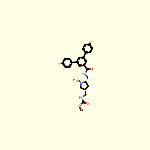 CN1C[C@H](CNC(=O)OC(C)(C)C)C[C@H]1CNC(=O)c1cc(-c2ccc(F)cc2)cc(-c2ccc(F)cc2)c1